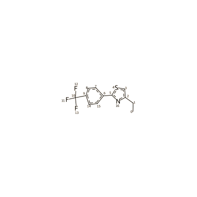 CCc1csc(-c2ccc(C(F)(F)F)cc2)n1